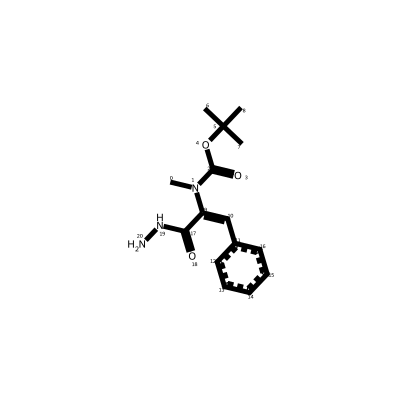 CN(C(=O)OC(C)(C)C)C(=Cc1ccccc1)C(=O)NN